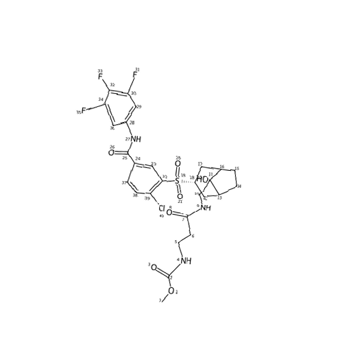 COC(=O)NCCC(=O)NC[C@]1(O)C2CCC1C[C@@H](S(=O)(=O)c1cc(C(=O)Nc3cc(F)c(F)c(F)c3)ccc1Cl)C2